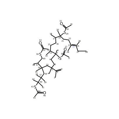 C=C(C)C(C)(CCC(C)(SC(C)=O)C(C)CCC(C)C(C)(CC/C(C)=C(\C)CC)SC(C)=O)CC(C)(CC(C)(C)C(C)(C)SC(C)=O)C(C)CSC(C)=O